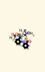 CC(=O)O.CC(SOC(=O)c1ccccc1Nc1ccccc1C(F)(F)F)N(C)C